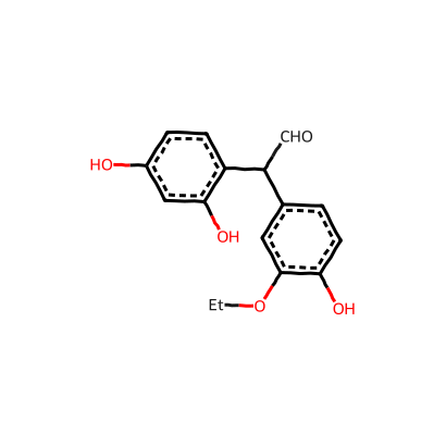 CCOc1cc(C(C=O)c2ccc(O)cc2O)ccc1O